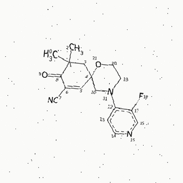 CC1(C)CC2(C=C(C#N)C1=O)CN(c1ccncc1F)CCO2